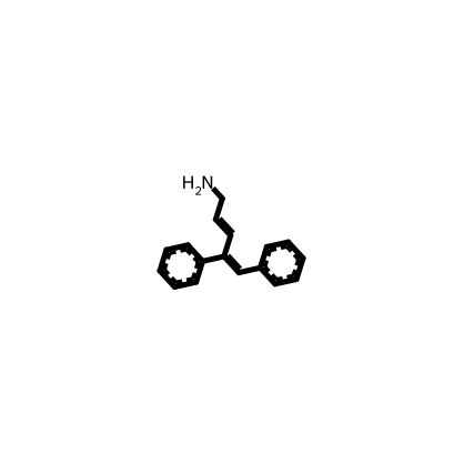 NC/C=C/C(=C\c1ccccc1)c1ccccc1